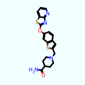 NC(=O)C1CCN(Cc2cc3ccc(Oc4nc5ncccc5s4)cc3s2)CC1